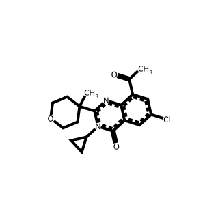 CC(=O)c1cc(Cl)cc2c(=O)n(C3CC3)c(C3(C)CCOCC3)nc12